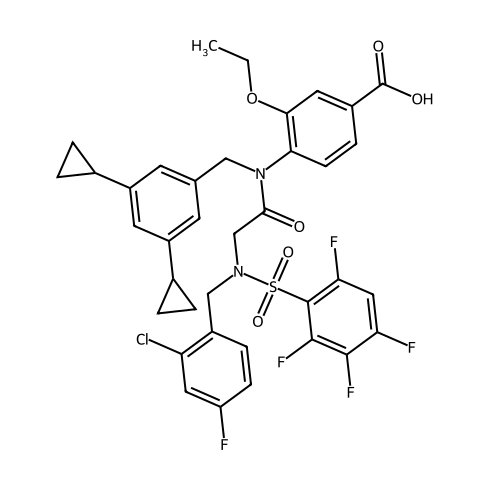 CCOc1cc(C(=O)O)ccc1N(Cc1cc(C2CC2)cc(C2CC2)c1)C(=O)CN(Cc1ccc(F)cc1Cl)S(=O)(=O)c1c(F)cc(F)c(F)c1F